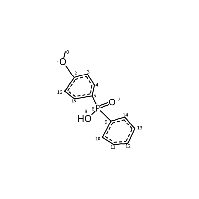 COc1ccc(P(=O)(O)c2ccccc2)cc1